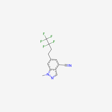 Cn1ncc2c(C#N)cc(CCC(F)(F)C(F)(F)F)cc21